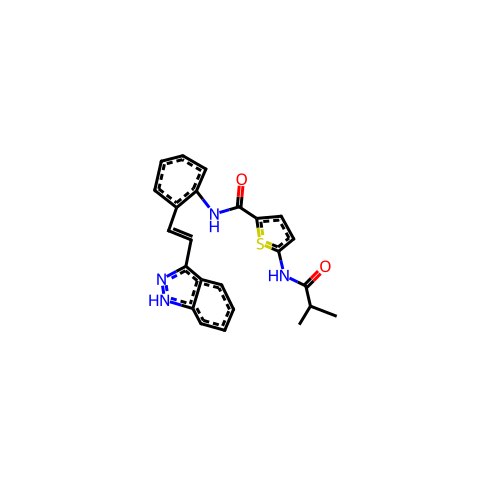 CC(C)C(=O)Nc1ccc(C(=O)Nc2ccccc2/C=C/c2n[nH]c3ccccc23)s1